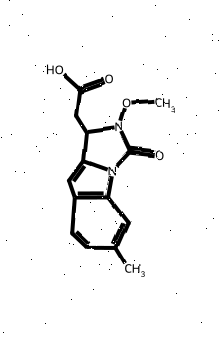 CON1C(=O)n2c(cc3ccc(C)cc32)C1CC(=O)O